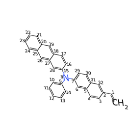 C=Cc1ccc2cc(N(c3ccccc3)c3ccc4cc5ccccc5cc4c3)ccc2c1